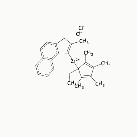 CC[C]1([Zr+2][C]2=C(C)Cc3ccc4ccccc4c32)C(C)=C(C)C(C)=C1C.[Cl-].[Cl-]